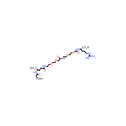 CCCCCCCCCCCC(=O)N[C@@H](CCC(=O)NCCOCCOCC(=O)NCCOCCOCC(=O)N[C@@H](CCCNC(=N)N)C(=O)O)C(=O)O